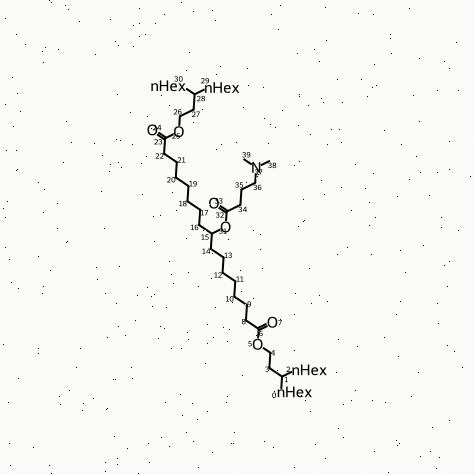 CCCCCCC(CCCCCC)CCOC(=O)CCCCCCCC(CCCCCCCC(=O)OCCC(CCCCCC)CCCCCC)OC(=O)CCCN(C)C